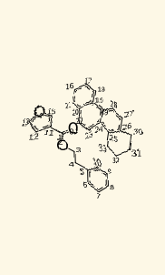 O=C(OCCc1ccccc1)c1ccoc1.c1ccc2c(c1)ccc1c3c(ccc12)CCCC3